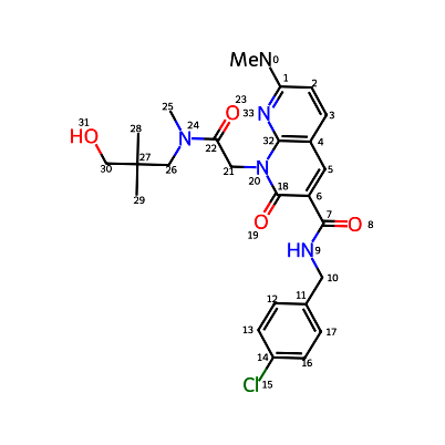 CNc1ccc2cc(C(=O)NCc3ccc(Cl)cc3)c(=O)n(CC(=O)N(C)CC(C)(C)CO)c2n1